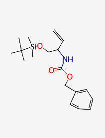 C=CC(CO[Si](C)(C)C(C)(C)C)NC(=O)OCc1ccccc1